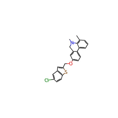 Cc1cccc2c1N(C)Cc1cc(OCc3cc4cc(Cl)ccc4s3)ccc1-2